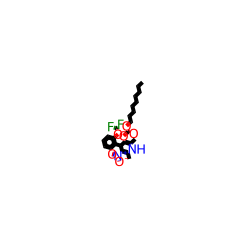 CCCCCCCCCOC(=O)OC1=C(C)NC(C)=C([N+](=O)[O-])C1c1ccccc1OC(F)F